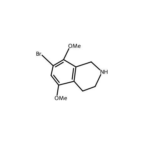 COc1cc(Br)c(OC)c2c1CCNC2